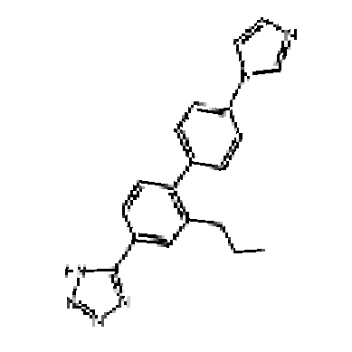 CCCc1cc(-c2nnn[nH]2)ccc1-c1ccc(-n2ccnc2)cc1